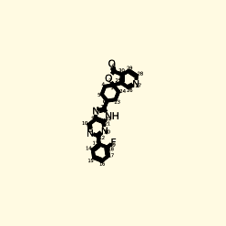 O=C1OC2(CCC(c3nc4cnc(-c5ccccc5F)nc4[nH]3)CC2)c2cnccc21